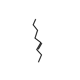 CC/C=C/CCCC